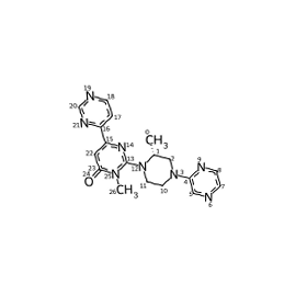 C[C@@H]1CN(c2cnccn2)CCN1c1nc(-c2ccncn2)cc(=O)n1C